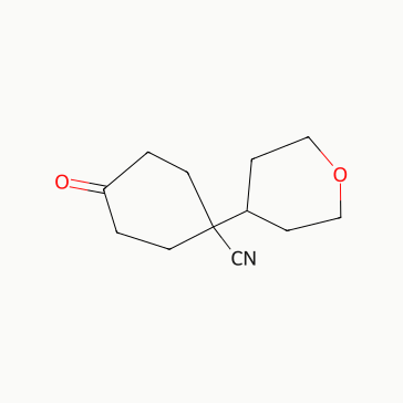 N#CC1(C2CCOCC2)CCC(=O)CC1